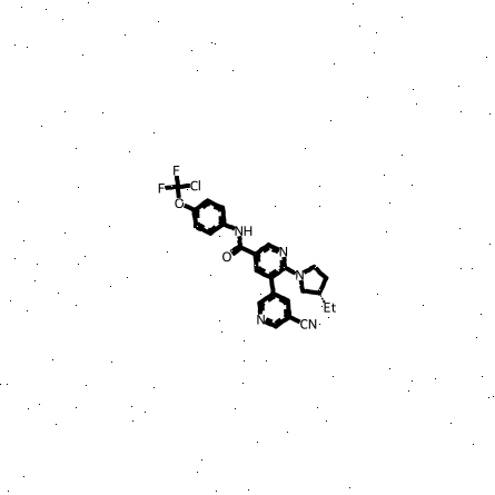 CC[C@H]1CCN(c2ncc(C(=O)Nc3ccc(OC(F)(F)Cl)cc3)cc2-c2cncc(C#N)c2)C1